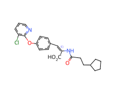 O=C(CCC1CCCC1)N/C(=C/c1ccc(Oc2ncccc2Cl)cc1)C(=O)O